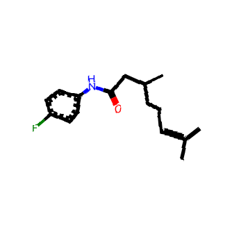 CC(C)=CCCC(C)CC(=O)Nc1ccc(F)cc1